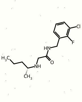 CCC[C@@H](C)NCC(=O)NCc1cccc(Cl)c1F